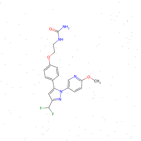 COc1ccc(-n2nc(C(F)F)cc2-c2ccc(OCCNC(N)=O)cc2)cn1